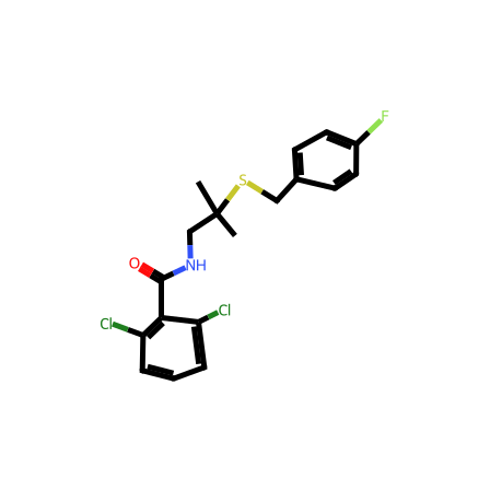 CC(C)(CNC(=O)c1c(Cl)cccc1Cl)SCc1ccc(F)cc1